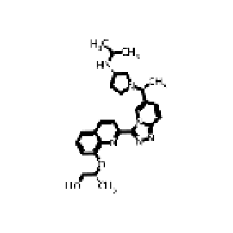 CC(C)N[C@H]1CCN([C@@H](C)c2ccc3nnc(-c4ccc5cccc(O[C@H](C)CO)c5n4)n3c2)C1